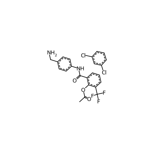 CC(=O)Oc1c(C(=O)Nc2ccc(CN)cc2)cccc1C(F)(F)F.Clc1cccc(Cl)c1